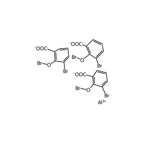 O=C([O-])c1cccc(Br)c1OBr.O=C([O-])c1cccc(Br)c1OBr.O=C([O-])c1cccc(Br)c1OBr.[Al+3]